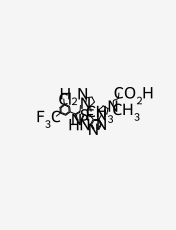 C[C@@H]1CC[C@@H](N)N1Cc1sc(Nc2ncnc(N3CC[C@H](N(C)CCC(=O)O)C3)c2F)nc1-c1cc(Cl)cc(C(F)(F)F)c1